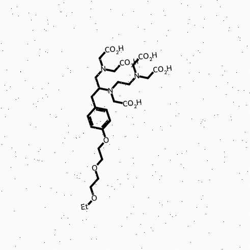 CCOCCOCCOc1ccc(CC(CN(CC(=O)O)CC(=O)O)N(CCN(CC(=O)O)CC(=O)O)CC(=O)O)cc1